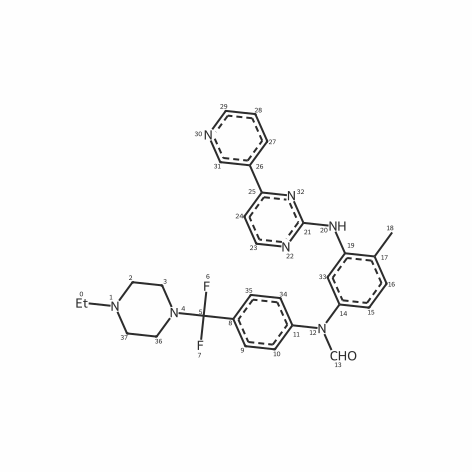 CCN1CCN(C(F)(F)c2ccc(N(C=O)c3ccc(C)c(Nc4nccc(-c5cccnc5)n4)c3)cc2)CC1